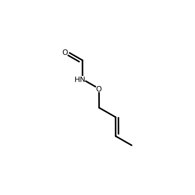 CC=CCONC=O